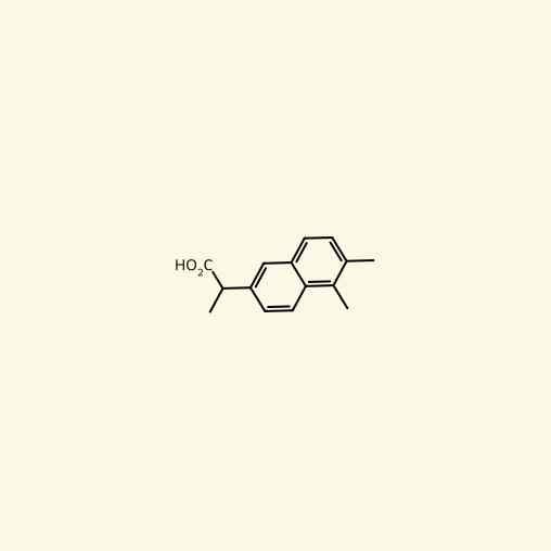 Cc1ccc2cc(C(C)C(=O)O)ccc2c1C